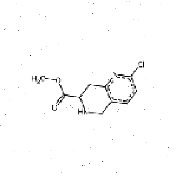 COC(=O)C1Cc2nc(Cl)ccc2CN1